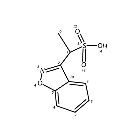 CC(c1noc2ccccc12)S(=O)(=O)O